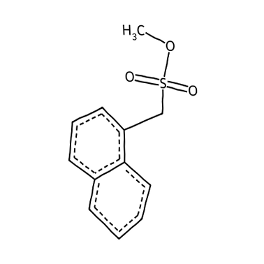 COS(=O)(=O)Cc1cccc2ccccc12